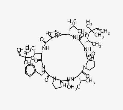 C=CC(C)(C)OC(C)[C@@H]1NC(=O)[C@@H]2CCCN2C(=O)[C@H](C(C)C)NC(=O)[C@@H]2CCCN2C(=O)[C@H](Cc2ccccc2)NC(=O)[C@H]([C@@H](C)OC(C)(C)C=C)NC(=O)[C@@H]2CSC(=N2)[C@H](CC(C)C)NC1=O